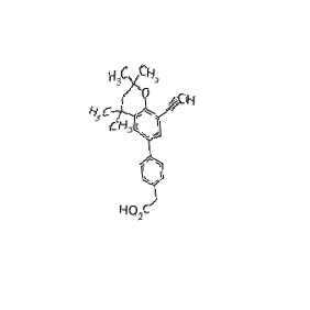 C#Cc1cc(-c2ccc(CC(=O)O)cc2)cc2c1OC(C)(C)CC2(C)C